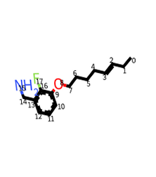 CCC=CCCCCOc1cccc(CN)c1F